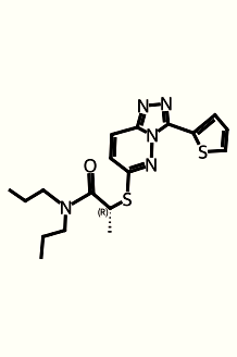 CCCN(CCC)C(=O)[C@@H](C)Sc1ccc2nnc(-c3cccs3)n2n1